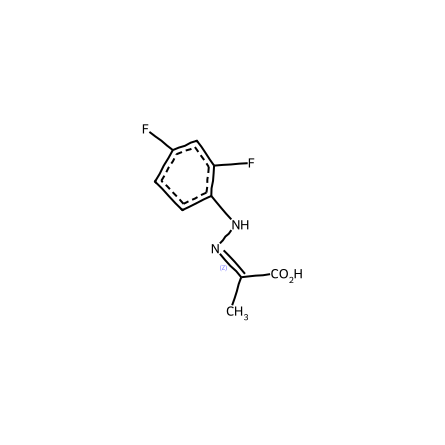 C/C(=N/Nc1ccc(F)cc1F)C(=O)O